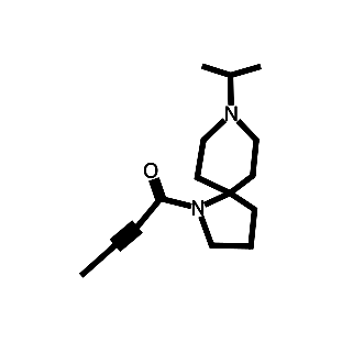 CC#CC(=O)N1CCCC12CCN(C(C)C)CC2